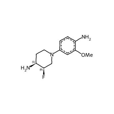 COc1cc(N2CC[C@H](N)[C@H](F)C2)ccc1N